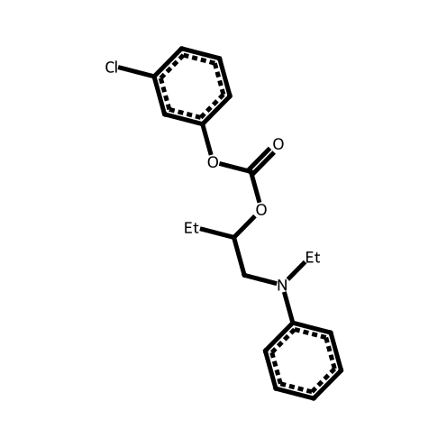 CCC(CN(CC)c1ccccc1)OC(=O)Oc1cccc(Cl)c1